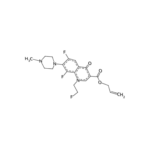 C=CCOC(=O)c1cn(CCF)c2c(F)c(N3CCN(C)CC3)c(F)cc2c1=O